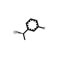 C[C@@H](N=O)c1cccc(F)c1